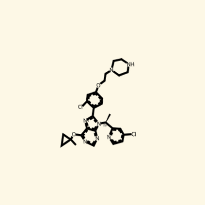 C[C@@H](c1cc(Cl)ccn1)n1c(-c2ccc(OCCN3CCNCC3)cc2Cl)nc2c(OC3(C)CC3)ncnc21